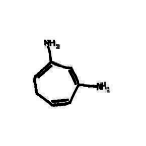 NC1=CCC=CC(N)=C1